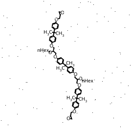 CCCCCCOC(COc1ccc(C(C)(C)c2ccc(OCC(COc3ccc(C(C)(C)c4ccc(OCC5CO5)cc4)cc3)OCCCCCC)cc2)cc1)COc1ccc(C(C)(C)c2ccc(OCC3CO3)cc2)cc1